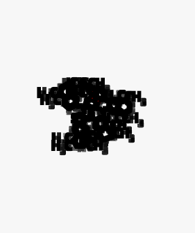 Cc1cc2c3c(c1)N(c1ccc4c(c1)C(C)(C)CCC4(C)C)c1sc4cc5c(cc4c1B3c1cc3c(cc1N2c1cc2c(cc1-c1ccc(C(C)(C)C)cc1)C(C)(C)CCC2(C)C)C(C)(C)CCC3(C)C)C(C)(C)CCC5(C)C